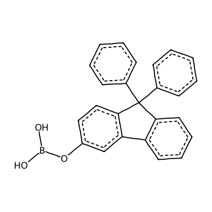 OB(O)Oc1ccc2c(c1)-c1ccccc1C2(c1ccccc1)c1ccccc1